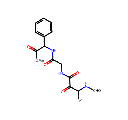 CCCC(NC=O)C(=O)C(=O)NCC(=O)NC(C(=O)OC)c1ccccc1